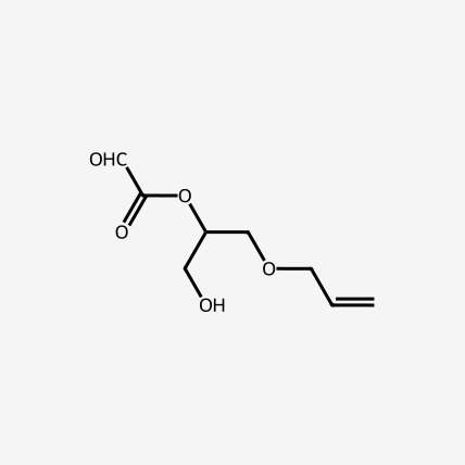 C=CCOCC(CO)OC(=O)C=O